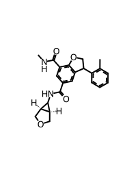 CNC(=O)c1cc(C(=O)NC2[C@H]3COC[C@@H]23)cc2c1OCC2c1ccccc1C